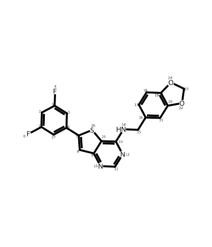 Fc1cc(F)cc(-c2cc3ncnc(NCc4ccc5c(c4)OCO5)c3s2)c1